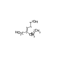 CC(=CCCO)C(=O)O.CC(C)=O